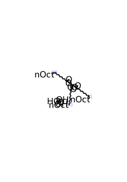 CCCCCCCC/C=C\CCCCCCCC(=O)OCC(COC(=O)CCCCCCC/C=C\CCCCCCCC)OC(=O)CCCCCCC/C=C\CCCCCCCC.O=P(O)(O)O